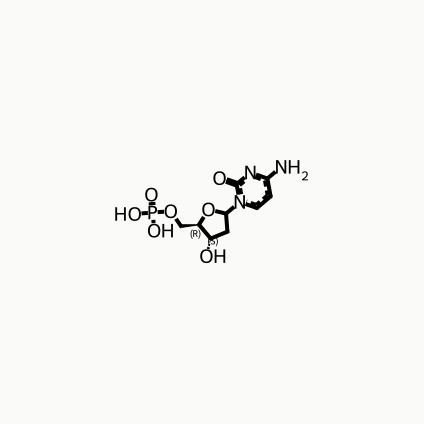 Nc1ccn(C2C[C@H](O)[C@@H](COP(=O)(O)O)O2)c(=O)n1